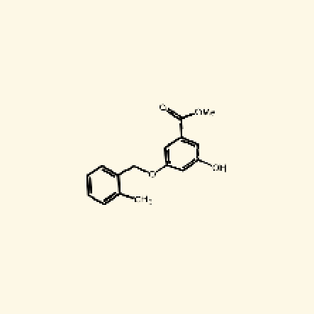 COC(=O)c1cc(O)cc(OCc2ccccc2C)c1